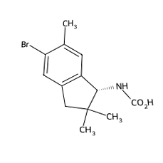 Cc1cc2c(cc1Br)CC(C)(C)[C@H]2NC(=O)O